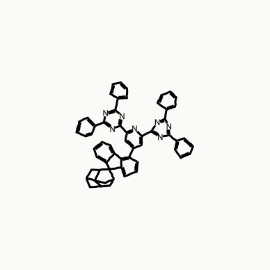 c1ccc(-c2nc(-c3ccccc3)nc(-c3cc(-c4cccc5c4-c4ccccc4C54C5CC6CC(C5)CC4C6)cc(-c4nc(-c5ccccc5)nc(-c5ccccc5)n4)n3)n2)cc1